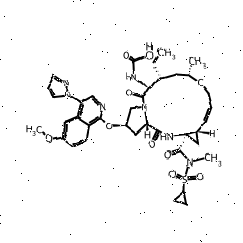 CC[C@@H]1C[C@H](C)CC/C=C\[C@@H]2C[C@@]2(C(=O)N(C)S(=O)(=O)C2CC2)NC(=O)[C@@H]2C[C@@H](Oc3ncc(-n4cccn4)c4cc(OC)ccc34)CN2C(=O)[C@H]1NC(=O)O